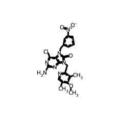 COc1c(C)cnc(Cn2c(=O)n(Cc3cccc([N+](=O)[O-])c3)c3c(Cl)nc(N)nc32)c1C